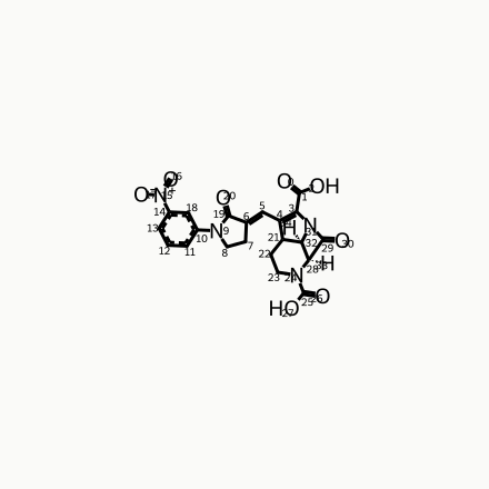 O=C(O)C1=C(/C=C2\CCN(c3cccc([N+](=O)[O-])c3)C2=O)C2CCN(C(=O)O)[C@@H]3C(=O)N1[C@H]23